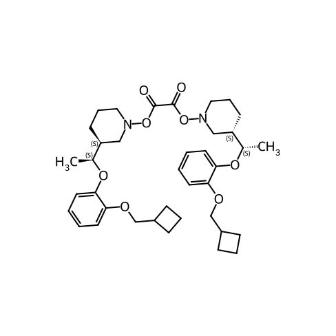 C[C@H](Oc1ccccc1OCC1CCC1)[C@H]1CCCN(OC(=O)C(=O)ON2CCC[C@H]([C@H](C)Oc3ccccc3OCC3CCC3)C2)C1